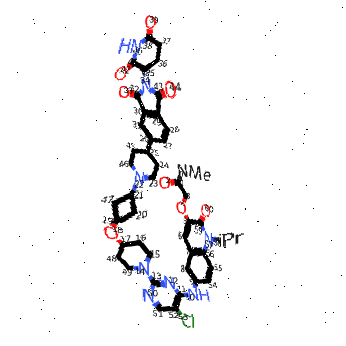 CNC(=O)COc1cc2cc(Nc3nc(N4CCC(OC5CC(N6CCC(c7ccc8c(c7)C(=O)N([C@H]7CCC(=O)NC7=O)C8=O)CC6)C5)CC4)ncc3Cl)ccc2n(C(C)C)c1=O